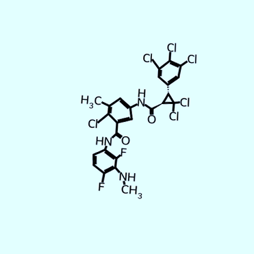 CNc1c(F)ccc(NC(=O)c2cc(NC(=O)[C@H]3[C@H](c4cc(Cl)c(Cl)c(Cl)c4)C3(Cl)Cl)cc(C)c2Cl)c1F